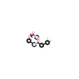 CC(C)(Oc1cccc(C2CCCN(C(=O)c3cccc(-c4ccc(F)c(F)c4)c3)C2)c1)C(=O)N1CCOCC1